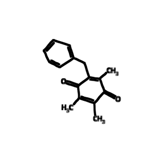 CC1=C(C)C(=O)C(Cc2ccccc2)=C(C)C1=O